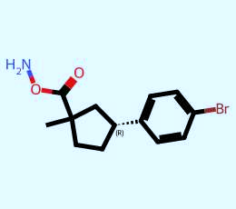 CC1(C(=O)ON)CC[C@@H](c2ccc(Br)cc2)C1